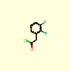 O=C(Cl)Cc1cccc(F)c1F